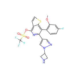 COc1cc(F)ccc1-c1c(-c2cnn(C3CNC3)c2)nc(OS(=O)(=O)C(F)(F)F)c2ccsc12